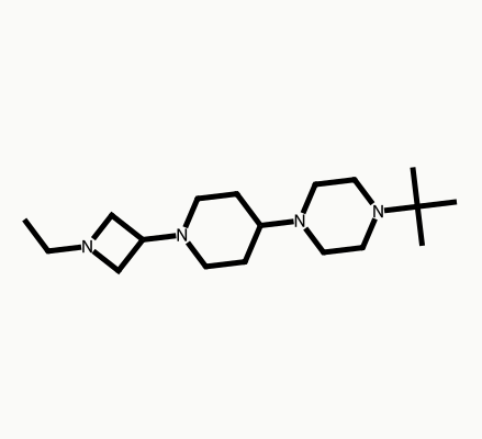 CCN1CC(N2CCC(N3CCN(C(C)(C)C)CC3)CC2)C1